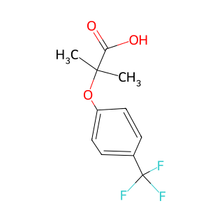 CC(C)(Oc1ccc(C(F)(F)F)cc1)C(=O)O